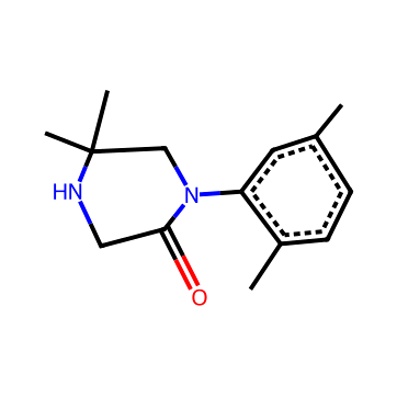 Cc1ccc(C)c(N2CC(C)(C)NCC2=O)c1